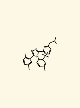 Cc1ccc(C)c(-c2nnc(-c3cccc(CC(C)C)c3)n2-c2ccc(C)cc2C(C)(C)C)c1